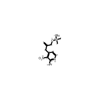 C=C(CO[Si](C)(C)C(C)(C)C)Cc1ccnc(C(C)C)c1[N+](=O)[O-]